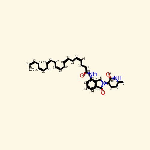 C=C1CCC(N2Cc3c(NC(=O)CC/C=C\C/C=C\C/C=C\C/C=C\C/C=C\C/C=C\CC)cccc3C2=O)C(=O)N1